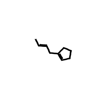 [CH2]C=CCC1=CCCC1